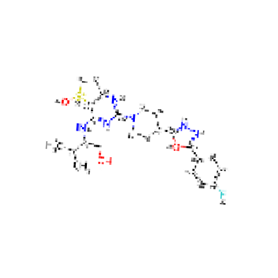 CC(C)[C@H](CO)Nc1nc(N2CCC(c3nnc(-c4ccc(F)cc4)o3)CC2)nc2c1[S+]([O-])CC2